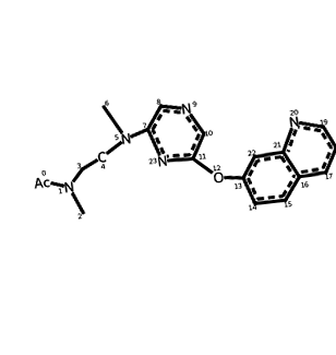 CC(=O)N(C)CCN(C)c1cncc(Oc2ccc3cccnc3c2)n1